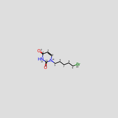 O=c1ccn(CCCCCBr)c(=O)[nH]1